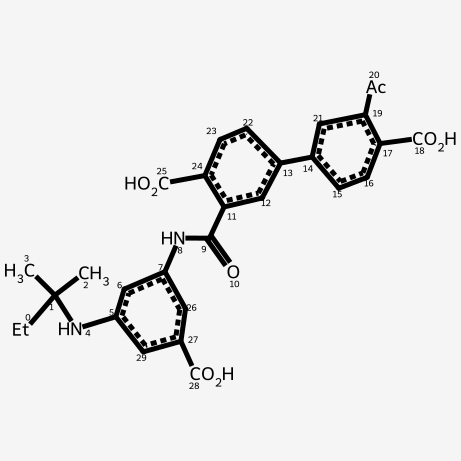 CCC(C)(C)Nc1cc(NC(=O)c2cc(-c3ccc(C(=O)O)c(C(C)=O)c3)ccc2C(=O)O)cc(C(=O)O)c1